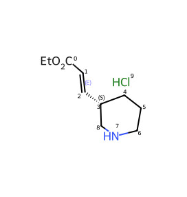 CCOC(=O)/C=C/[C@@H]1CCCNC1.Cl